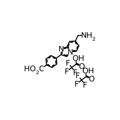 NCc1ccn2cc(-c3ccc(C(=O)O)cc3)nc2c1.O=C(O)C(F)(F)F.O=C(O)C(F)(F)F